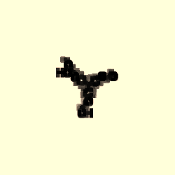 CCOCC(O)COc1ccc(C(c2ccc(OCCCO)cc2)c2ccc(OCC3CO3)cc2)cc1